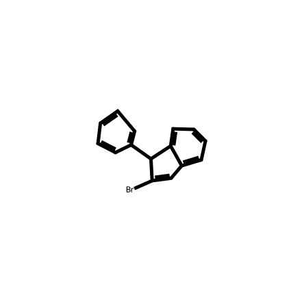 BrC1=Cc2ccccc2C1c1ccccc1